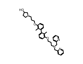 Cc1c(OCCCN(Cc2ccccn2)Cc2ccccn2)cccc1-c1cccc(OCCCN2CCC(O)C2)c1C